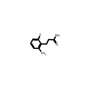 Cc1cccc(F)c1CCC(=O)O